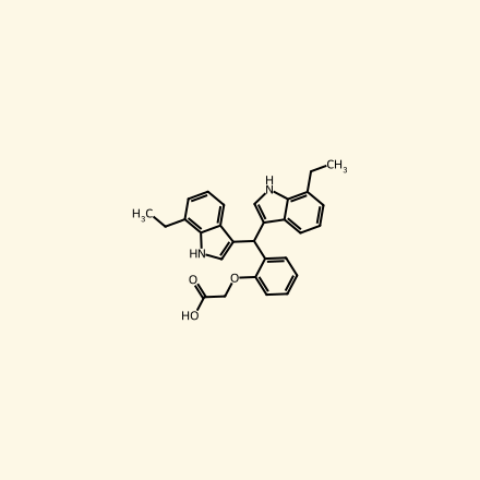 CCc1cccc2c(C(c3ccccc3OCC(=O)O)c3c[nH]c4c(CC)cccc34)c[nH]c12